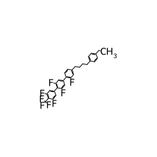 CCc1ccc(CCCCc2ccc(-c3cc(F)c(-c4cc(F)c(C(F)(F)F)c(F)c4)c(F)c3)c(F)c2)cc1